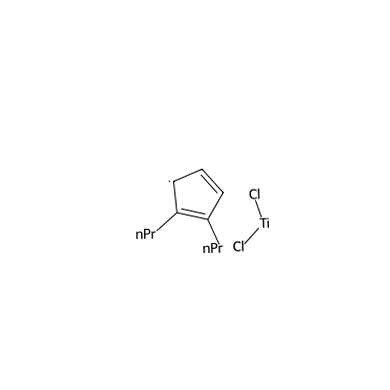 CCCC1=C(CCC)C=C[CH]1.[Cl][Ti][Cl]